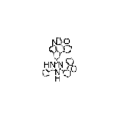 c1ccc(C2NC(c3cccc4oc5ccccc5c34)=NC(c3cc(-c4cccc5oc6ccncc6c45)c4ccccc4c3)N2)cc1